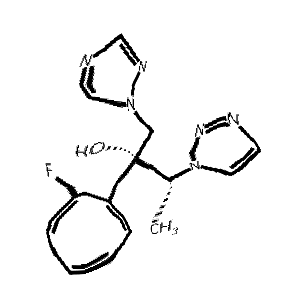 C[C@@H](n1ccnn1)[C@](O)(Cn1cncn1)c1ccccc1F